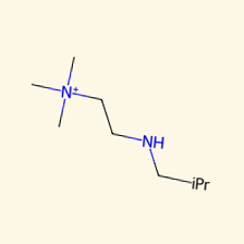 CC(C)CNCC[N+](C)(C)C